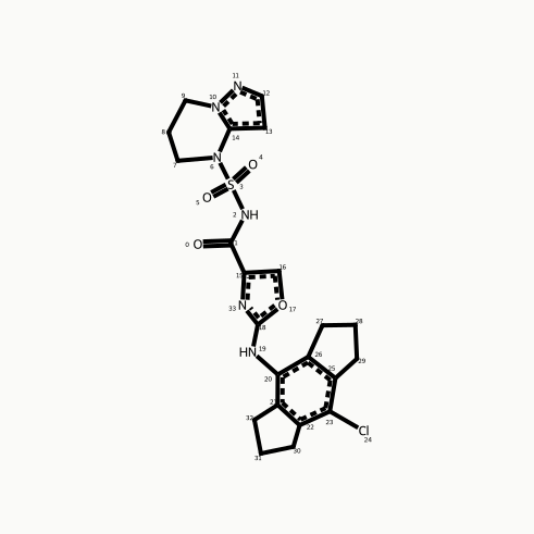 O=C(NS(=O)(=O)N1CCCn2nccc21)c1coc(Nc2c3c(c(Cl)c4c2CCC4)CCC3)n1